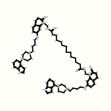 O=C(CCCCCCCCCCCCC(=O)OCn1c(=O)ccc2ccc(OCCCCN3CCN(c4cccc5sccc45)CC3)cc21)OCn1c(=O)ccc2ccc(OCCCCN3CCN(c4cccc5sccc45)CC3)cc21